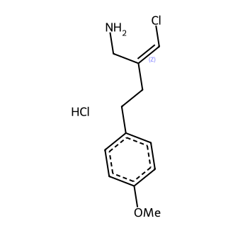 COc1ccc(CC/C(=C/Cl)CN)cc1.Cl